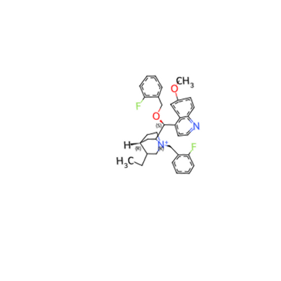 CCC1C[N@@+]2(Cc3ccccc3F)CC[C@@H]1CC2[C@@H](OCc1ccccc1F)c1ccnc2ccc(OC)cc12